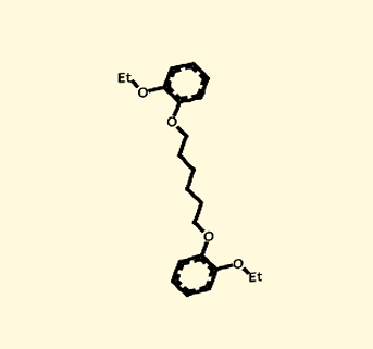 CCOc1ccccc1OCCCCCCOc1ccccc1OCC